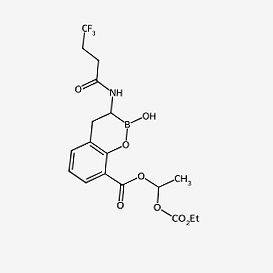 CCOC(=O)OC(C)OC(=O)c1cccc2c1OB(O)C(NC(=O)CCC(F)(F)F)C2